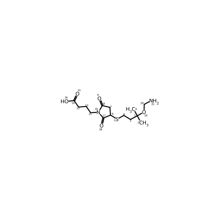 CC(C)(CCSC1CC(=O)N(CCCC(=O)O)C1=O)OCN